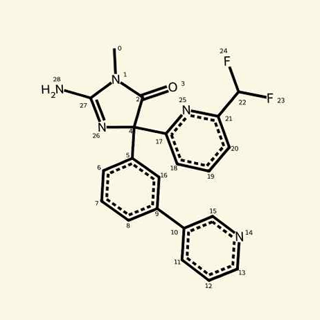 CN1C(=O)C(c2cccc(-c3cccnc3)c2)(c2cccc(C(F)F)n2)N=C1N